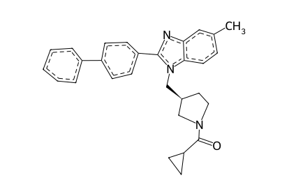 Cc1ccc2c(c1)nc(-c1ccc(-c3ccccc3)cc1)n2C[C@H]1CCN(C(=O)C2CC2)C1